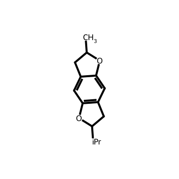 CC1Cc2cc3c(cc2O1)CC(C(C)C)O3